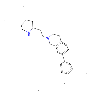 c1ccc(-c2ccc3c(c2)CN(CCC2CCCCN2)CC3)cc1